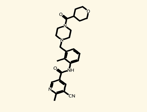 Cc1ncc(C(=O)Nc2cccc(CN3CCN(C(=O)C4CCOCC4)CC3)c2C)cc1C#N